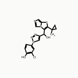 CC1(c2sc3cncn3c2C(O)c2cn(-c3ccc(O)c(Cl)c3)nn2)CC1